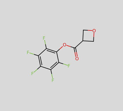 O=C(Oc1c(F)c(F)c(F)c(F)c1F)C1COC1